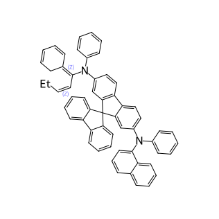 CC/C=C\C(=C1\C=CC=CC1)N(c1ccccc1)c1ccc2c(c1)C1(c3ccccc3-c3ccccc31)c1cc(N(c3ccccc3)c3cccc4ccccc34)ccc1-2